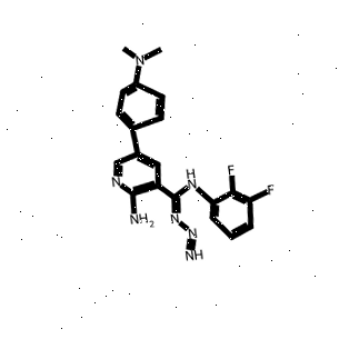 CN(C)c1ccc(-c2cnc(N)c(/C(=N/N=N)Nc3cccc(F)c3F)c2)cc1